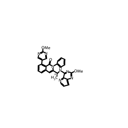 COc1ncc(-c2cccc3cc([C@H](C)Nc4nc(OC)nc5cccnc45)n(-c4ccccc4)c(=O)c23)cn1